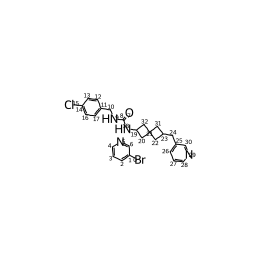 Brc1cccnc1.O=C(NCc1ccc(Cl)cc1)NC1CC2(CC(Cc3cccnc3)C2)C1